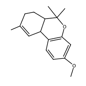 COc1ccc2c(c1)OC(C)(C)C1CCC(C)=CC21